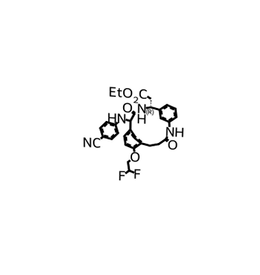 CCOC(=O)C[C@H]1NC(=O)C(Nc2ccc(C#N)cc2)c2ccc(OCC(F)F)c(c2)CCC(=O)Nc2cccc1c2